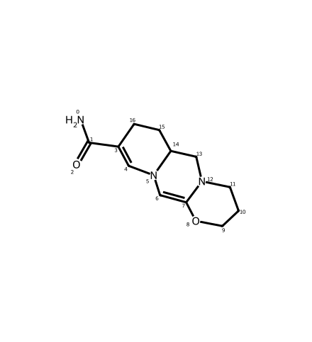 NC(=O)C1=CN2C=C3OCCCN3CC2CC1